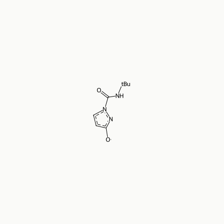 CC(C)(C)NC(=O)n1ccc([O])n1